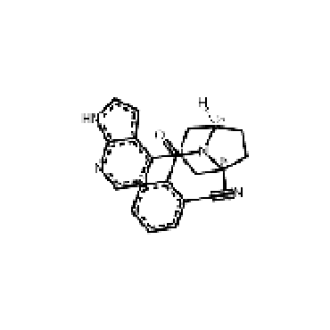 N#Cc1ccccc1C(=O)N1[C@@H]2CC[C@@H]1CN(c1ncnc3[nH]ccc13)C2